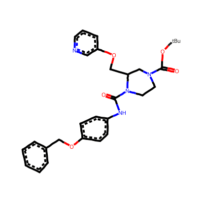 CC(C)(C)OC(=O)N1CCN(C(=O)Nc2ccc(OCc3ccccc3)cc2)C(COc2cccnc2)C1